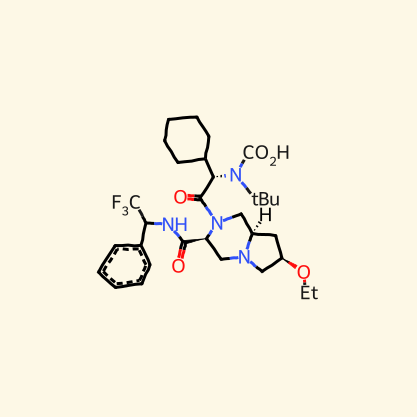 CCO[C@@H]1C[C@@H]2CN(C(=O)[C@H](C3CCCCC3)N(C(=O)O)C(C)(C)C)[C@H](C(=O)NC(c3ccccc3)C(F)(F)F)CN2C1